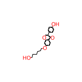 O=c1c(-c2ccc(O)cc2)coc2cc(OCCCCCCO)ccc12